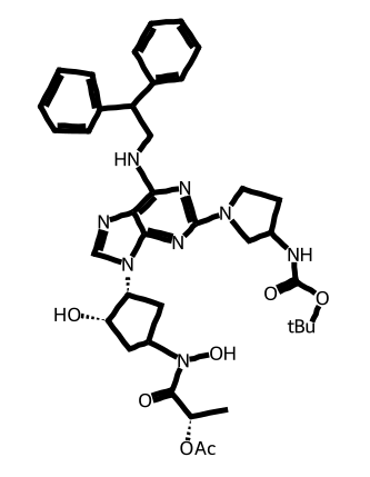 CC(=O)O[C@@H](C)C(=O)N(O)C1C[C@@H](n2cnc3c(NCC(c4ccccc4)c4ccccc4)nc(N4CCC(NC(=O)OC(C)(C)C)C4)nc32)[C@@H](O)C1